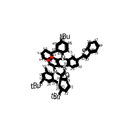 Cc1cc2c3c(c1)N(c1c(C)cc(C(C)(C)C)cc1C)c1c(oc4ccc(C(C)(C)C)cc14)B3c1ccc(-c3cc4ccccc4s3)cc1N2c1ccc(C(C)(C)C)cc1-c1ccccc1